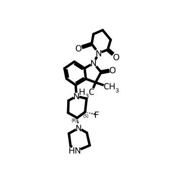 CC1(C)C(=O)N(N2C(=O)CCCC2=O)c2cccc(N3CC[C@@H](N4CCNCC4)[C@@H](F)C3)c21